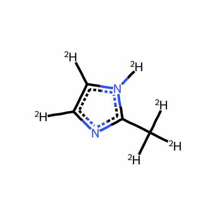 [2H]c1nc(C([2H])([2H])[2H])n([2H])c1[2H]